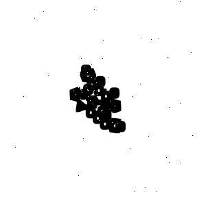 O=C(OCOC(=O)C1CC1[C@H]1CCCN1C(=O)CCCCC(=O)N1CCC[C@@H]1C(=O)OCOC(=O)OC1CCOCC1)OC1CCOCC1